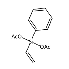 C=C[Si](OC(C)=O)(OC(C)=O)c1ccccc1